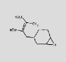 CCCCC(CC1CCC2OC2C1)=C(C)C(=O)O